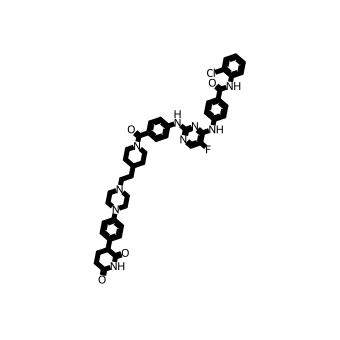 O=C1CCC(c2ccc(N3CCN(CCC4CCN(C(=O)c5ccc(Nc6ncc(F)c(Nc7ccc(C(=O)Nc8ccccc8Cl)cc7)n6)cc5)CC4)CC3)cc2)C(=O)N1